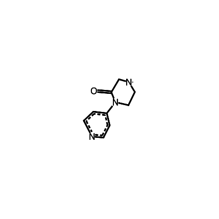 O=C1C[N]CCN1c1ccncc1